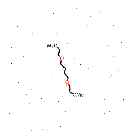 COCCOC[CH]CCOCCOC